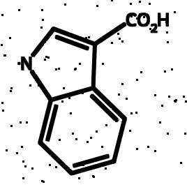 O=C(O)C1=C[N]c2ccccc21